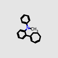 CN(c1ccccc1)c1ccccc1C1=CC=CCCC1